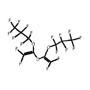 FC(F)=C(OC(OC(F)(F)C(F)(F)C(F)(F)F)=C(F)F)OC(F)(F)C(F)(F)C(F)(F)F